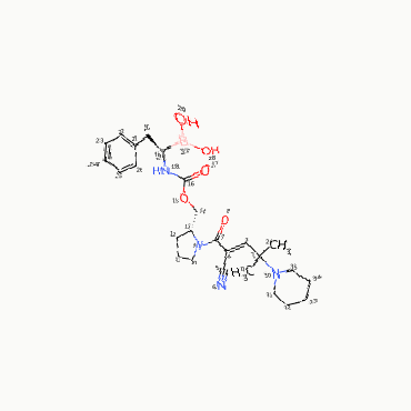 CC(C)(/C=C(\C#N)C(=O)N1CCC[C@@H]1COC(=O)N[C@@H](Cc1ccccc1)B(O)O)N1CCCCC1